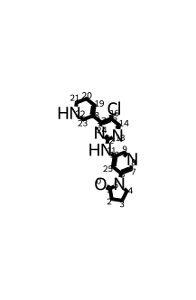 O=C1CCCN1c1cncc(Nc2ncc(Cl)c(C3=CCCNC3)n2)c1